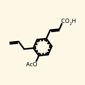 C=CCc1cc(C=CC(=O)O)ccc1OC(C)=O